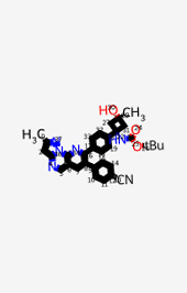 Cc1cc2ncc3cc(-c4ccc(C#N)cc4)c(-c4ccc([C@]5(NC(=O)OC(C)(C)C)C[C@](C)(O)C5)cc4)nc3n2n1